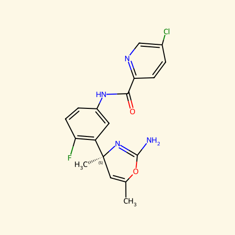 CC1=C[C@@](C)(c2cc(NC(=O)c3ccc(Cl)cn3)ccc2F)N=C(N)O1